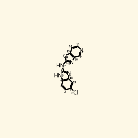 Clc1ccc2[nH]c(Nc3nc4cnccc4o3)nc2c1